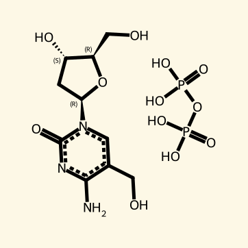 Nc1nc(=O)n([C@H]2C[C@H](O)[C@@H](CO)O2)cc1CO.O=P(O)(O)OP(=O)(O)O